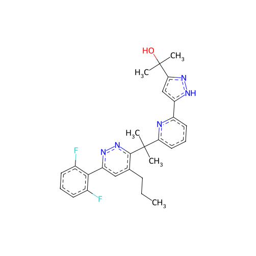 CCCc1cc(-c2c(F)cccc2F)nnc1C(C)(C)c1cccc(-c2cc(C(C)(C)O)n[nH]2)n1